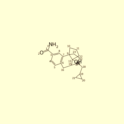 NC(=O)c1ccc2c(c1)C13CCCC1(O)C(C2)N(CC1CC1)CC3